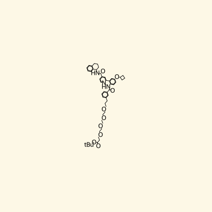 CC(C)(C)OC(=O)CCOCCOCCOCCOCCCc1cccc(C(=O)Nc2ccc(OC3CCC3)cc2-c2cc(C(=O)NC3CCCc4ccccc43)ccn2)c1